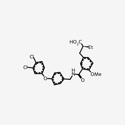 CC[C@@H](Cc1ccc(OC)c(C(=O)NCc2ccc(Oc3ccc(Cl)c(Cl)c3)cc2)c1)C(=O)O